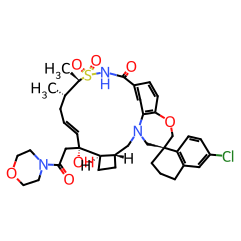 C[C@@H]1[C@@H](C)C/C=C/[C@](O)(CC(=O)N2CCOCC2)[C@@H]2CC[C@H]2CN2C[C@@]3(CCCc4cc(Cl)ccc43)COc3ccc(cc32)C(=O)NS1(=O)=O